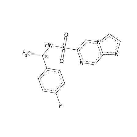 O=S(=O)(N[C@H](c1ccc(F)cc1)C(F)(F)F)c1cn2ccnc2cn1